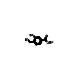 COC(=O)c1ccc(CBr)c(C#N)c1